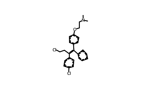 CN(C)CCOc1ccc(/C(=C(\CCCl)c2ccc(Cl)cc2)c2ccccc2)cc1